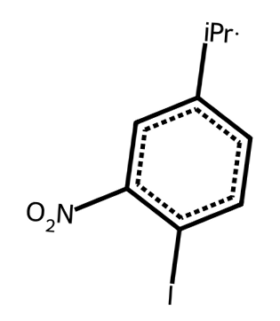 C[C](C)c1ccc(I)c([N+](=O)[O-])c1